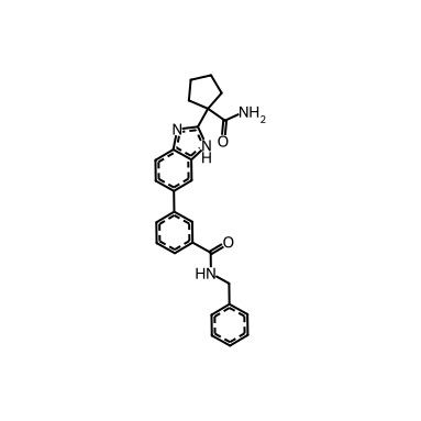 NC(=O)C1(c2nc3ccc(-c4cccc(C(=O)NCc5ccccc5)c4)cc3[nH]2)CCCC1